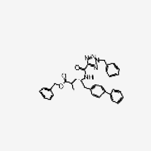 CC(C[C@@H](Cc1ccc(-c2ccccc2)cc1)NC(=O)c1nnn(Cc2ccccc2)n1)C(=O)OCc1ccccc1